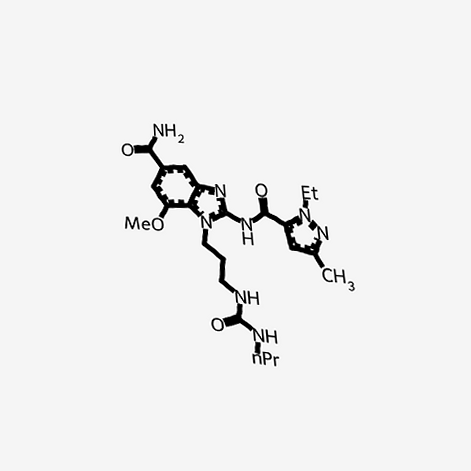 CCCNC(=O)NCCCn1c(NC(=O)c2cc(C)nn2CC)nc2cc(C(N)=O)cc(OC)c21